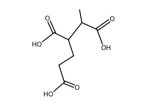 CC(C(=O)O)C(CCC(=O)O)C(=O)O